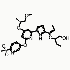 C/C=C(/OC(CC)CO)c1ccc(-c2cc(O[C@@H](C)COC)cc(Oc3ccc(S(C)(=O)=O)nc3)n2)[nH]1